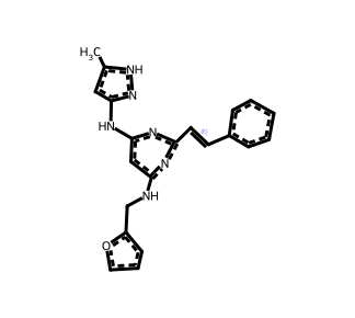 Cc1cc(Nc2cc(NCc3ccco3)nc(/C=C/c3ccccc3)n2)n[nH]1